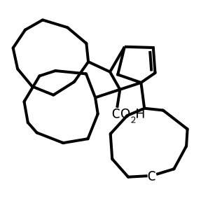 O=C(O)C1(C2CCCCCCCCC2)C(C2CCCCCCCCC2)C2C=CC1(C1CCCCCCCCC1)C2